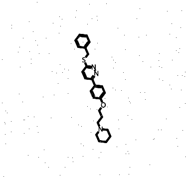 c1ccc(CSc2ccc(-c3ccc(OCCCN4CCCCC4)cc3)nn2)cc1